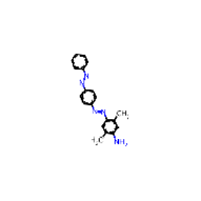 Cc1cc(N=Nc2ccc(N=Nc3ccccc3)cc2)c(C)cc1N